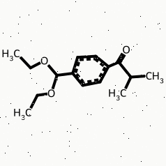 CCOC(OCC)c1ccc(C(=O)C(C)C)cc1